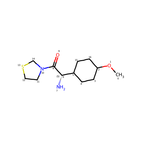 COC1CCC([C@H](N)C(=O)N2CCSC2)CC1